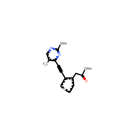 COC(=O)Cc1ccccc1C#Cc1nc(SC)ncc1C(F)(F)F